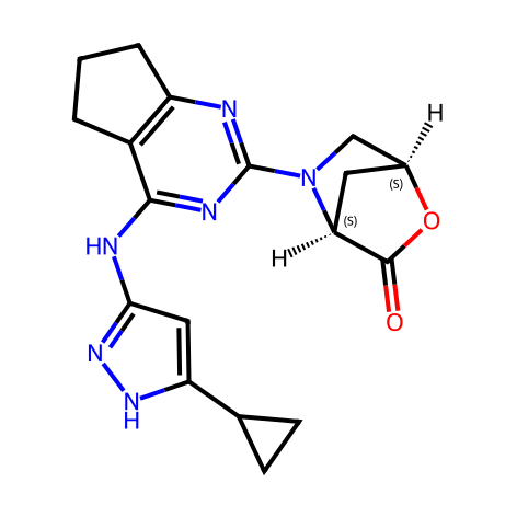 O=C1O[C@H]2C[C@@H]1N(c1nc3c(c(Nc4cc(C5CC5)[nH]n4)n1)CCC3)C2